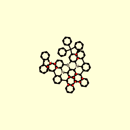 c1ccc(-c2cccc(-c3ccccc3)c2N2c3cc(-n4c5ccccc5c5ccccc54)ccc3B3c4cc5c(cc4N(c4c(-c6ccccc6)cccc4-c4ccccc4)c4cc(N(c6ccccc6)c6ccccc6)cc2c43)-c2ccccc2C5(c2ccccc2)c2ccccc2)cc1